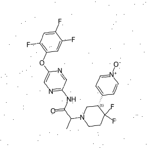 CC(C(=O)Nc1cnc(Oc2cc(F)c(F)cc2F)cn1)N1CCC(F)(F)[C@@H](c2cc[n+]([O-])cc2)C1